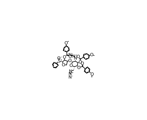 COc1ccc(C(=O)OC2C(O[C@H]3O[C@@H](CN=[N+]=[N-])[C@@H](OC(=O)c4ccc(OC)cc4)[C@H](OC(=O)c4ccc(OC)cc4)[C@H]3N=[N+]=[N-])CO[C@H]2[S+]([O-])c2ccccc2)cc1